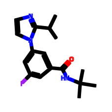 CC(C)c1nccn1-c1cc(I)cc(C(=O)NC(C)(C)C)c1